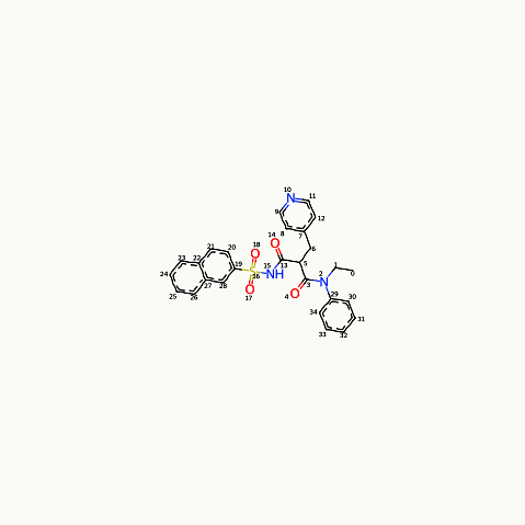 CCN(C(=O)C(Cc1ccncc1)C(=O)NS(=O)(=O)c1ccc2ccccc2c1)c1ccccc1